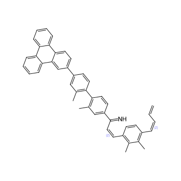 C=C/C=C\c1ccc(/C=C\C(=N)c2ccc(-c3ccc(-c4ccc5c6ccccc6c6ccccc6c5c4)cc3C)c(C)c2)c(C)c1C